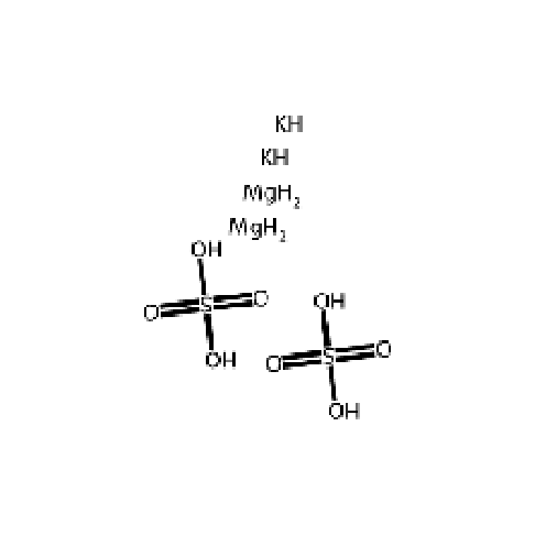 O=S(=O)(O)O.O=S(=O)(O)O.[KH].[KH].[MgH2].[MgH2]